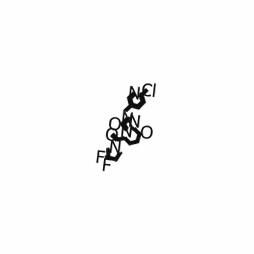 O=C1CCC(C(=O)N2CCC(F)(F)C2)n2c1nn(Cc1ccc(Cl)nc1)c2=O